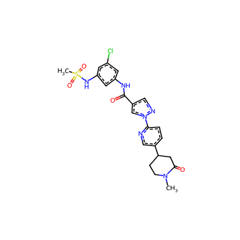 CN1CCC(c2ccc(-n3cc(C(=O)Nc4cc(Cl)cc(NS(C)(=O)=O)c4)cn3)nc2)CC1=O